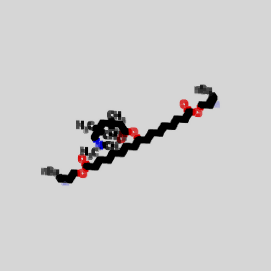 CCCC/C=C\COC(=O)CCCCCCCC(CCCCCCCC(=O)OC/C=C\CCCC)OC(=O)CC(C)(C)CC(C)(C)CN(C)C